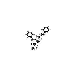 CC(C)(C)OC(=O)N[C@@H](CC(=O)OCc1ccccc1)Cc1ccccc1